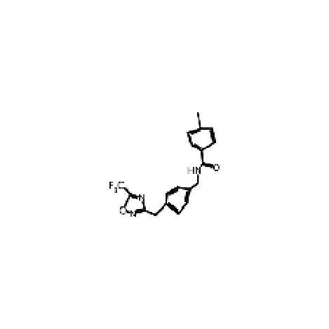 Cc1ccc(C(=O)NCc2ccc(Cc3noc(C(F)(F)F)n3)cc2)cc1